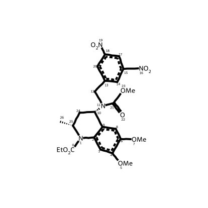 CCOC(=O)N1c2cc(OC)c(OC)cc2[C@@H](N(Cc2cc([N+](=O)[O-])cc([N+](=O)[O-])c2)C(=O)OC)C[C@H]1C